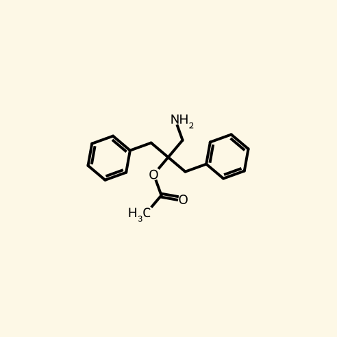 CC(=O)OC(CN)(Cc1ccccc1)Cc1ccccc1